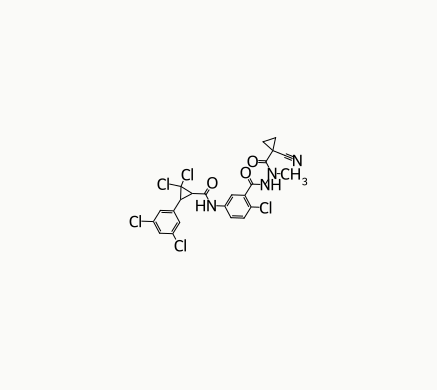 CN(NC(=O)c1cc(NC(=O)C2C(c3cc(Cl)cc(Cl)c3)C2(Cl)Cl)ccc1Cl)C(=O)C1(C#N)CC1